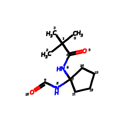 CC(C)(C)C(=O)NC1(NC=O)CCCC1